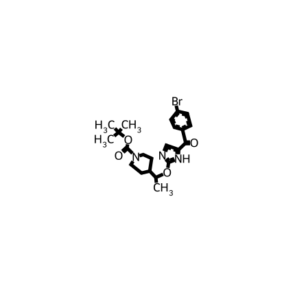 CC(Oc1ncc(C(=O)c2ccc(Br)cc2)[nH]1)C1CCN(C(=O)OC(C)(C)C)CC1